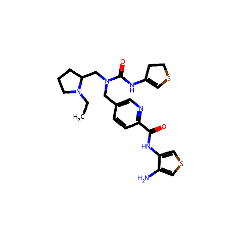 CCN1CCCC1CN(Cc1ccc(C(=O)Nc2cscc2N)nc1)C(=O)NC1=CSCC1